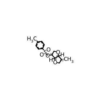 Cc1ccc(S(=O)(=O)O[C@H]2CO[C@H]3[C@@H]2OC[C@H]3C)cc1